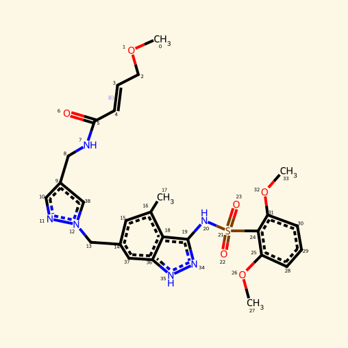 COC/C=C/C(=O)NCc1cnn(Cc2cc(C)c3c(NS(=O)(=O)c4c(OC)cccc4OC)n[nH]c3c2)c1